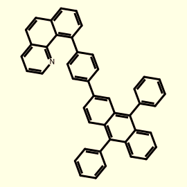 c1ccc(-c2c3ccccc3c(-c3ccccc3)c3cc(-c4ccc(-c5cccc6ccc7cccnc7c56)cc4)ccc23)cc1